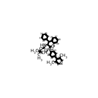 Cc1cncc(C)c1-c1ccc(NC(=O)[C@@H](NC(=O)OC(C)(C)C)C(c2ccccc2)c2ccccc2)cc1